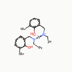 CC(C)C[N+](Cc1cccc(C(C)(C)C)c1O)=[Zr]=[N+](Cc1cccc(C(C)(C)C)c1O)CC(C)C